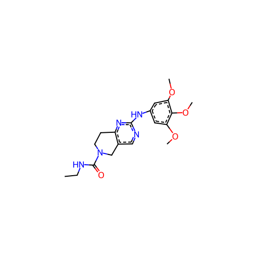 CCNC(=O)N1CCc2nc(Nc3cc(OC)c(OC)c(OC)c3)ncc2C1